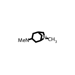 CNC1CC2CC(C1)N(C)C2